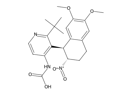 COc1cc2c(cc1OC)[C@H](c1c(NC(=O)O)ccnc1C(C)(C)C)[C@@H]([N+](=O)[O-])CC2